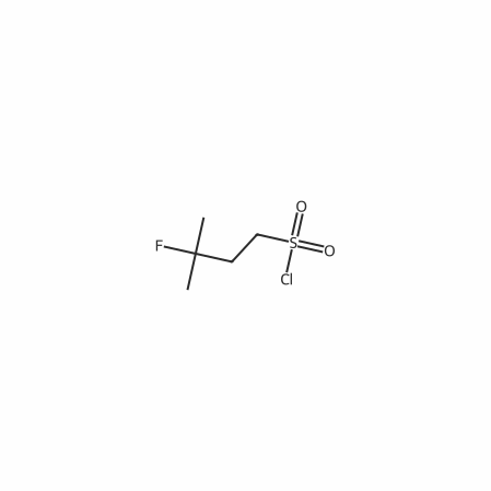 CC(C)(F)CCS(=O)(=O)Cl